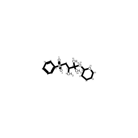 CC(CS(=O)(=O)c1ccccc1)C(C)(C)OC1CCCCO1